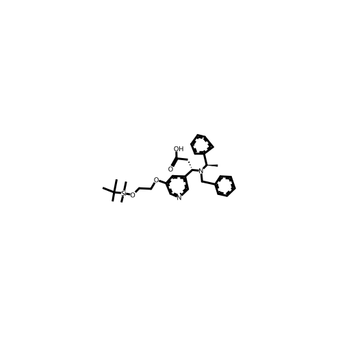 C[C@H](c1ccccc1)N(Cc1ccccc1)[C@@H](CC(=O)O)c1cncc(OCCO[Si](C)(C)C(C)(C)C)c1